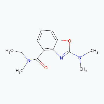 CCN(C)C(=O)c1cccc2oc(N(C)C)nc12